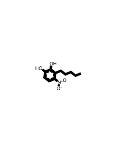 CCCCCc1c([N+](=O)[O-])ccc(O)c1O